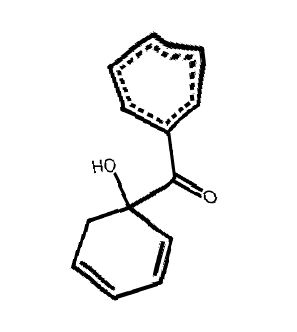 O=C(c1ccccc1)C1(O)C=CC=CC1